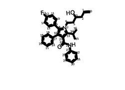 C=CCC(O)CCn1c(-c2ccc(F)cc2)c(-c2ccccc2)c(C(=O)Nc2ccccc2)c1C(C)C